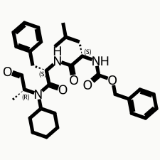 CC(C)C[C@H](NC(=O)OCc1ccccc1)C(=O)N[C@@H](Cc1ccccc1)C(=O)N(C1CCCCC1)[C@H](C)C=O